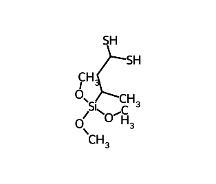 CO[Si](OC)(OC)C(C)CC(S)S